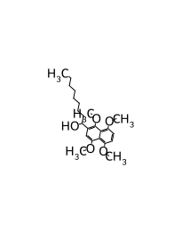 CCCCCCCCC(O)c1cc(OC)c2c(OC)ccc(OC)c2c1OC